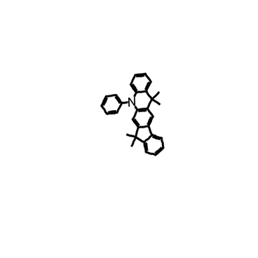 CC1(C)c2ccccc2-c2cc3c(cc21)N(c1ccccc1)c1ccccc1C3(C)C